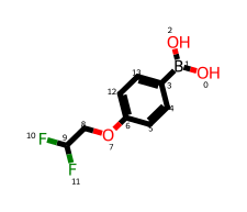 OB(O)c1ccc(OCC(F)F)cc1